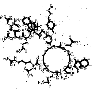 CC(=O)N[C@@H](CCCCNC(=N)N)C(=O)N[C@@H]1CCSC[C@@H](C(=O)N[C@@H](Cc2ccc(OCCN)cc2)C(=O)N[C@@H](Cc2ccc3ccccc3c2)C(=O)NC2(C(=O)N[C@@H](CCC(=O)O)C(=O)N[C@@H](CC(N)=O)C(=O)N[C@@H](CC(N)=O)C(N)=O)CCOCC2)NC(=O)[C@H](CCC(N)=O)NC(=O)[C@H](Cc2c[nH]c3ccccc23)NC(=O)[C@H]([C@@H](C)O)NC(=O)[C@@H](CCC(N)=O)NC1=O